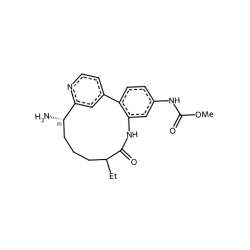 CCC1CCC[C@H](N)c2cc(ccn2)-c2ccc(NC(=O)OC)cc2NC1=O